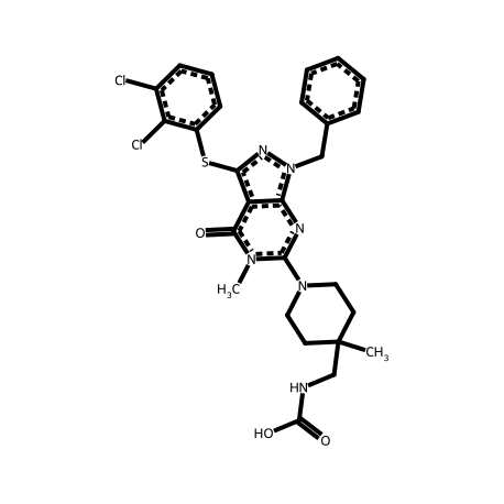 Cn1c(N2CCC(C)(CNC(=O)O)CC2)nc2c(c(Sc3cccc(Cl)c3Cl)nn2Cc2ccccc2)c1=O